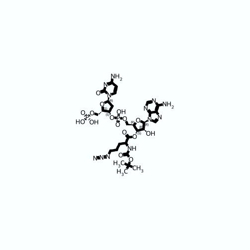 CC(C)(C)OC(=O)NC(CCCN=[N+]=[N-])C(=O)O[C@H]1[C@@H](O)[C@H](n2cnc3c(N)ncnc32)O[C@@H]1COP(=O)(O)O[C@H]1C[C@H](n2ccc(N)nc2=O)O[C@H]1COP(=O)(O)O